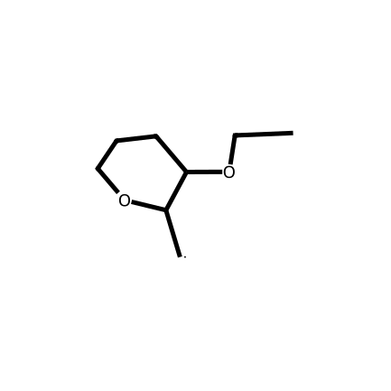 [CH2]C1OCCCC1OCC